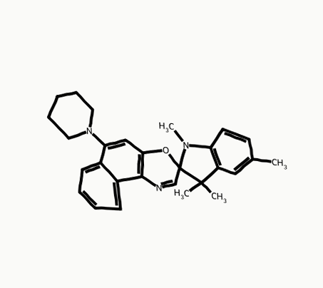 Cc1ccc2c(c1)C(C)(C)C1(C=Nc3c(cc(N4CCCCC4)c4ccccc34)O1)N2C